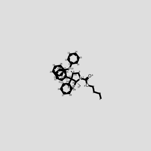 CCCCOC(=O)N1C[C@@H](P(c2ccccc2)c2ccccc2)C(c2ccccc2)(c2ccccc2)[C@]1(C)P